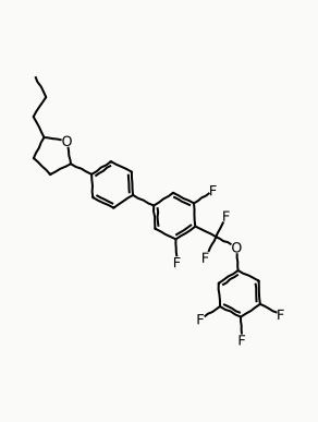 CCCC1CCC(c2ccc(-c3cc(F)c(C(F)(F)Oc4cc(F)c(F)c(F)c4)c(F)c3)cc2)O1